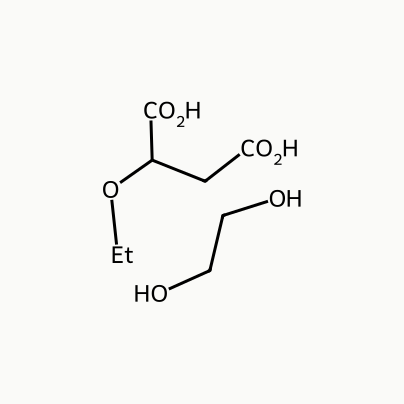 CCOC(CC(=O)O)C(=O)O.OCCO